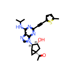 CC(=O)[C@]12CC1[C@@H](n1cnc3c(NC(C)C)nc(C#Cc4ccc(C)s4)nc31)[C@H](O)C2